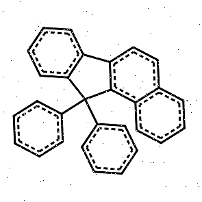 [c]1cccc2c3c(ccc12)-c1ccccc1C3(c1ccccc1)c1ccccc1